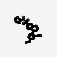 N#Cc1cc(CF)ccc1N1CCOc2cc(S(=O)(=O)Nc3ncco3)ccc21